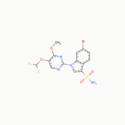 COc1nc(-n2cc(S(N)(=O)=O)c3ccc(Br)cc32)ncc1OC(F)F